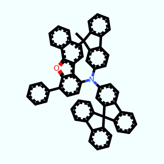 CC1(C)c2ccccc2-c2ccc(N(c3ccc4c(c3)C3(c5ccccc5-c5ccccc53)c3ccccc3-4)c3ccc(-c4ccccc4)c4oc5c6ccccc6ccc5c34)cc21